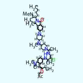 C=CCCC(C(=C)NC)N1C(=C)c2cc(N3CCC(N(C)C4CCN(/C(C)=N/C=C(/Cl)C(=C)Nc5ccc(N(C)C)c(/C=C(\C=C)OCC(C)=O)c5)CC4)CC3)ccc2C1=O